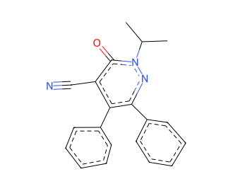 CC(C)n1nc(-c2ccccc2)c(-c2ccccc2)c(C#N)c1=O